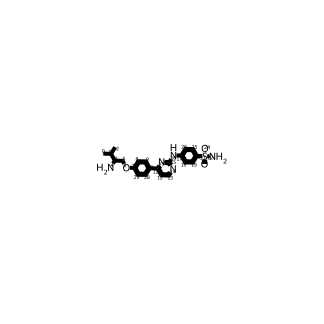 CC(C)C(N)COc1ccc(-c2ccnc(Nc3ccc(S(N)(=O)=O)cc3)n2)cc1